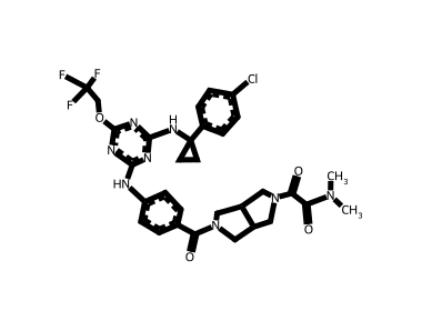 CN(C)C(=O)C(=O)N1CC2CN(C(=O)c3ccc(Nc4nc(NC5(c6ccc(Cl)cc6)CC5)nc(OCC(F)(F)F)n4)cc3)CC2C1